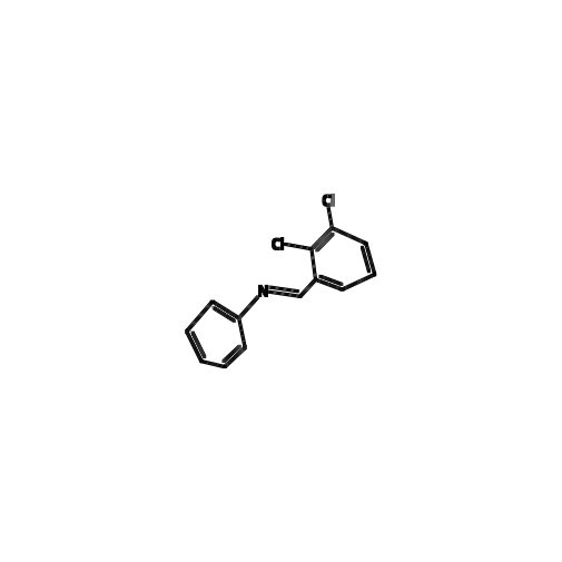 Clc1cccc(C=Nc2ccccc2)c1Cl